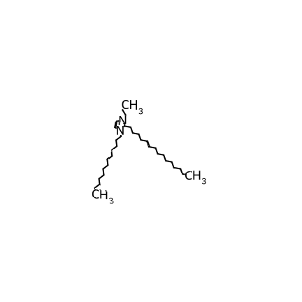 CCCCCCCCCCCCCCCC1N(CCC)C=CN1CCCCCCCCCCCCC